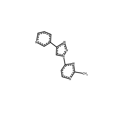 Cc1nccc(-n2cc(-c3cccnc3)nn2)n1